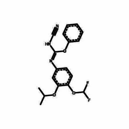 CC(C)Oc1cc(N=C(NC#N)Oc2ccccc2)ccc1OC(F)F